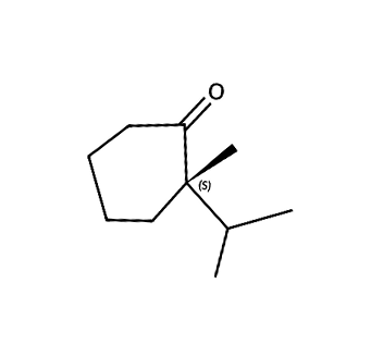 CC(C)[C@]1(C)CCCCC1=O